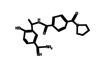 CC(NC(=O)c1ccc(C(=O)N2CCCC2)cc1)c1cc(C(=N)N)ccc1O